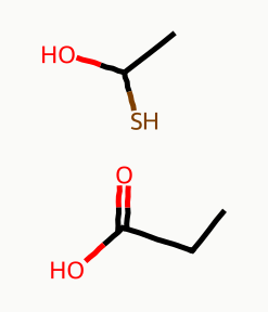 CC(O)S.CCC(=O)O